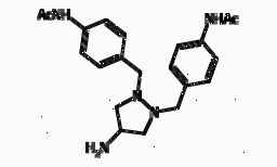 CC(=O)Nc1ccc(CN2CC(N)CN2Cc2ccc(NC(C)=O)cc2)cc1